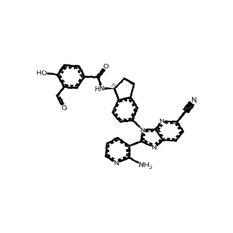 N#Cc1ccc2nc(-c3cccnc3N)n(-c3ccc4c(c3)CC[C@@H]4NC(=O)c3ccc(O)c(C=O)c3)c2n1